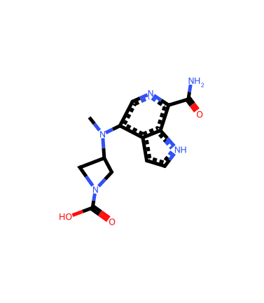 CN(c1cnc(C(N)=O)c2[nH]ccc12)C1CN(C(=O)O)C1